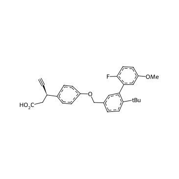 C#C[C@H](CC(=O)O)c1ccc(OCc2ccc(C(C)(C)C)c(-c3cc(OC)ccc3F)c2)cc1